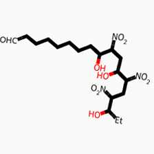 CCC(O)C(CC(C(O)CC(C(O)CCCCCCC[C]=O)[N+](=O)[O-])[N+](=O)[O-])[N+](=O)[O-]